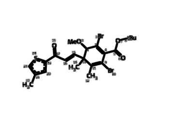 COC1C(Br)=C(C(=O)OC(C)(C)C)C(Br)=C(C)C1(C)C=CC(=O)c1cc(C)cs1